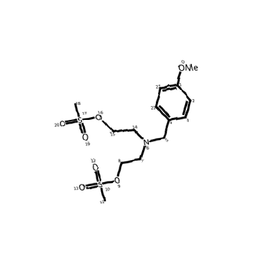 COc1ccc(CN(CCOS(C)(=O)=O)CCOS(C)(=O)=O)cc1